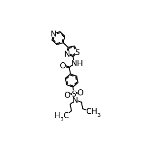 CCCN(CCC)S(=O)(=O)c1ccc(C(=O)Nc2nc(-c3ccncc3)cs2)cc1